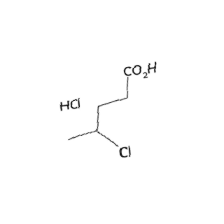 CC(Cl)CCC(=O)O.Cl